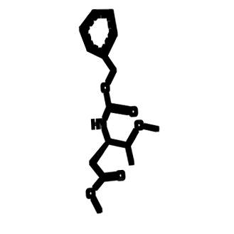 COC(=O)C[C@@H](NC(=O)OCc1ccccc1)C(C)OC